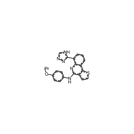 CC(C)Oc1ccc(Nc2nc3c(-c4nnc[nH]4)cccc3c3sccc23)cc1